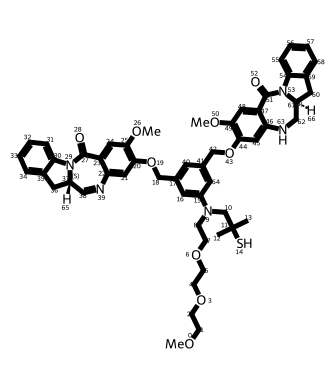 COCCOCCOCCN(CC(C)(C)S)c1cc(COc2cc3c(cc2OC)C(=O)N2c4ccccc4C[C@H]2C=N3)cc(COc2cc3c(cc2OC)C(=O)N2c4ccccc4C[C@H]2CN3)c1